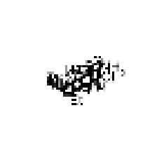 CCc1cc(CNCC(C)C)c(O)c2c1C[C@H]1C[C@H]3[C@H](N(C)C)C(O)=C(C(N)=O)C(=O)[C@@]3(O)C(O)=C1C2=O